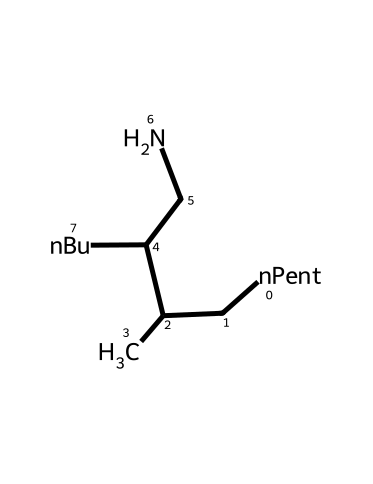 CCCCCCC(C)C(CN)CCCC